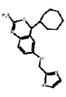 NC1=Nc2ccc(NCc3ncc[nH]3)cc2C(C2CCCCCC2)O1